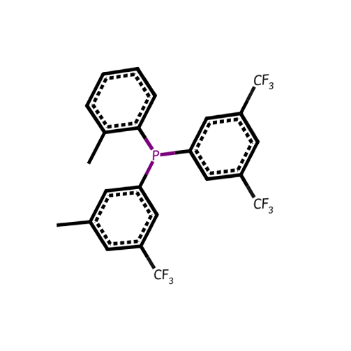 Cc1cc(P(c2cc(C(F)(F)F)cc(C(F)(F)F)c2)c2ccccc2C)cc(C(F)(F)F)c1